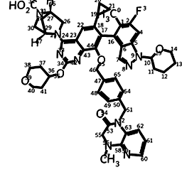 Cc1c(F)cc2c(cnn2C2CCCCO2)c1-c1c(C2CC2)cc2c(N3C[C@@H]4C[C@H]3CN4C(=O)O)nc(OC3CCOCC3)nc2c1OCc1ccc(CN2C(=O)CN(C)c3ncccc32)cc1